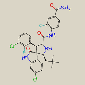 CC(C)(C)C[C@@H]1N[C@@H](C(=O)Nc2ccc(C(N)=O)cc2F)[C@H](c2cccc(Cl)c2F)[C@]12C(=O)Nc1cc(Cl)ccc12